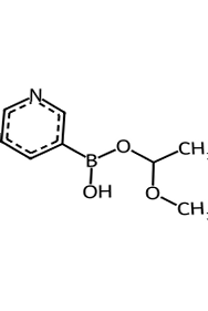 COC(C)OB(O)c1cccnc1